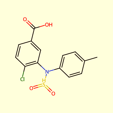 Cc1ccc(N(c2cc(C(=O)O)ccc2Cl)[SH](=O)=O)cc1